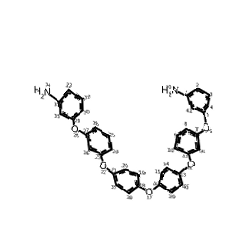 Nc1cccc(Oc2cccc(Oc3ccc(Oc4ccc(Oc5cccc(Oc6cccc(N)c6)c5)cc4)cc3)c2)c1